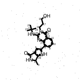 CC1NC(=O)c2cc(-c3cccc4c(=O)n(CCCO)c(NC(C)(C)C)nc34)[nH]c21